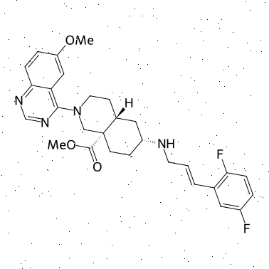 COC(=O)[C@@]12CC[C@@H](NC/C=C/c3cc(F)ccc3F)C[C@H]1CCN(c1ncnc3ccc(OC)cc13)C2